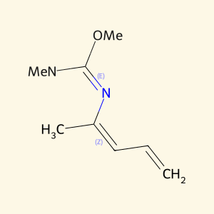 C=C/C=C(C)\N=C(/NC)OC